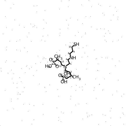 CC(CCN(CCNCCCS)CCC(C)S(=O)(=O)O)CP(=O)(O)O